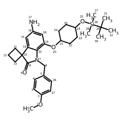 COc1ccc(CN2C(=O)C3(CCC3)c3cc(N)cc(OC4CCC(O[Si](C)(C)C(C)(C)C)CC4)c32)cc1